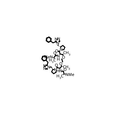 CN[C@@H](C)C(=O)N[C@H](C(=O)N1CCC[C@H]1Cn1cnnc1Cc1ccccc1)[C@@H](C)OCCO[C@H](C)[C@H](NC(=O)[C@H](C)NC)C(=O)N1CCC[C@H]1Cn1cnnc1Cc1ccccc1